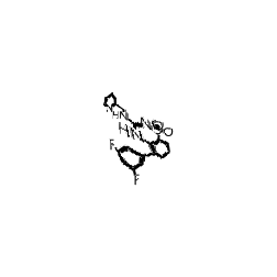 O=S1(=O)N=C(NCc2ccccn2)Nc2c(-c3cc(F)cc(F)c3)cccc21